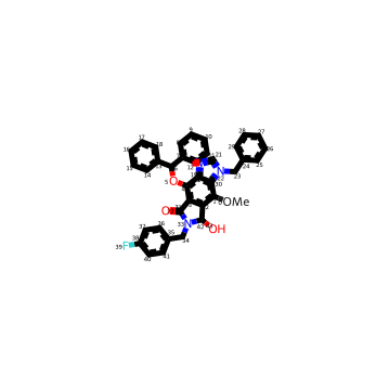 COc1c2c(c(OC(c3ccccc3)c3ccccc3)c3ncn(Cc4ccccc4)c13)C(=O)N(Cc1ccc(F)cc1)C2O